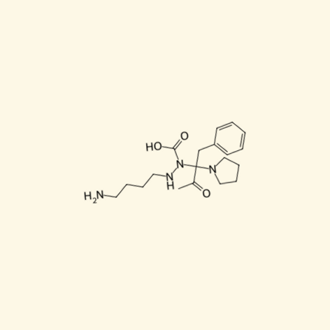 CC(=O)C(Cc1ccccc1)(N1CCCC1)N(NCCCCN)C(=O)O